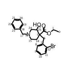 CCOC(=O)C1(Cc2ccccc2Br)CCN(Cc2ccccc2)CC1O